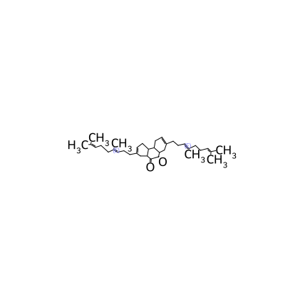 CC(C)=CCC/C(C)=C/CCC1=CCC2C(C1)C(=O)C(=O)C1CC(CC/C=C(\C)CCC=C(C)C)=CCC12